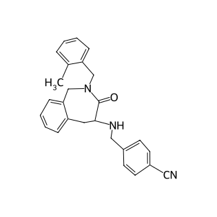 Cc1ccccc1CN1Cc2ccccc2CC(NCc2ccc(C#N)cc2)C1=O